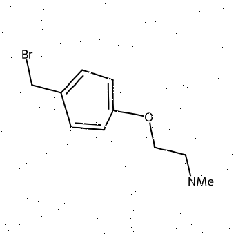 CNCCOc1ccc(CBr)cc1